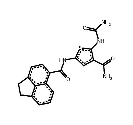 NC(=O)Nc1sc(NC(=O)c2ccc3c4c(cccc24)CC3)cc1C(N)=O